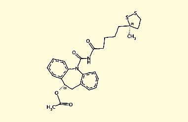 CC(=O)O[C@H]1Cc2ccccc2N(C(=O)NC(=O)CCCC[C@]2(C)CCSS2)c2ccccc21